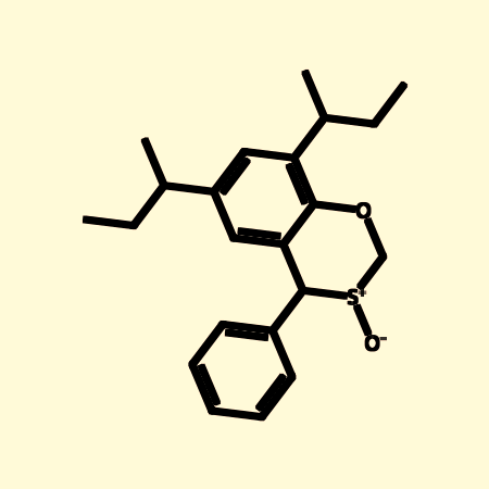 CCC(C)c1cc(C(C)CC)c2c(c1)C(c1ccccc1)[S+]([O-])CO2